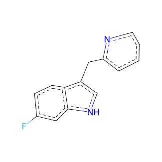 Fc1ccc2c(Cc3ccccn3)c[nH]c2c1